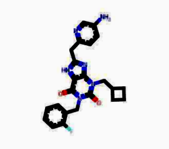 Nc1ccc(Cc2nc3c([nH]2)c(=O)n(Cc2ccccc2F)c(=O)n3CC2CCC2)nc1